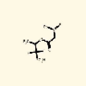 CCN(CC)CC(=O)OC(C(F)(F)F)C(F)(F)S(=O)(=O)O